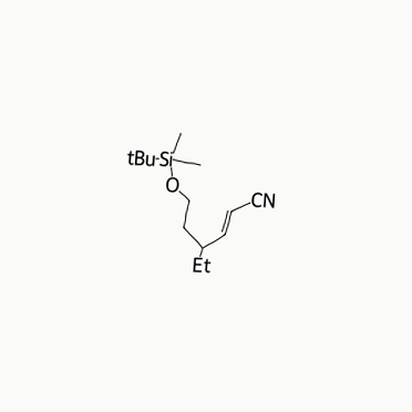 CCC(C=CC#N)CCO[Si](C)(C)C(C)(C)C